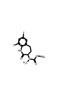 CN(C(=O)OC(C)(C)C)C1CCc2cc(F)cc(F)c2NC1=O